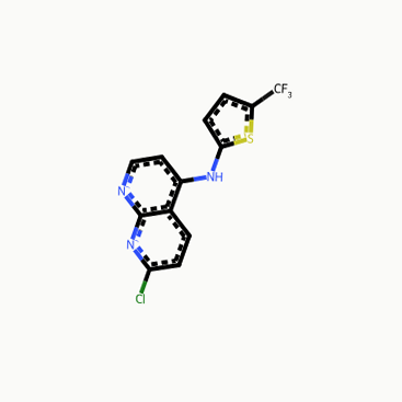 FC(F)(F)c1ccc(Nc2ccnc3nc(Cl)ccc23)s1